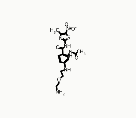 CC(=O)Nc1cc(NCCOCCN)ccc1C(=O)Nc1nc(C)c([N+](=O)[O-])s1